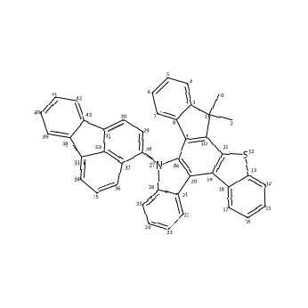 CC1(C)c2ccccc2-c2c1c1sc3ccccc3c1c1c3ccccc3n(-c3ccc4c5c(cccc35)-c3ccccc3-4)c21